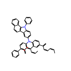 C=C/C=C(\C=C/C)c1cc(C(=C)/C=C\C=C/C)ccc1N(c1ccc(-c2ccccc2)cc1)c1ccc2c(c1)c1ccc3ccccc3c1n2-c1ccccc1